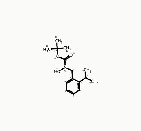 CC(C)c1ccccc1CN(O)C(=O)OC(C)(C)C